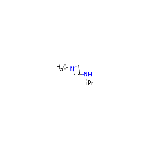 CC(C)NC1CN(C)C1